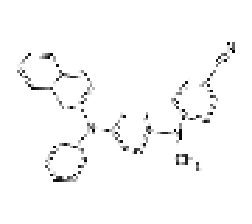 CN(c1ccc(C#N)cc1)c1ccc(N(C2=CC=C3C=CC=CC3C2)c2ccccc2)cc1